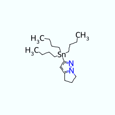 CCC[CH2][Sn]([CH2]CCC)([CH2]CCC)[c]1cc2n(n1)CCC2